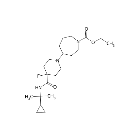 CCOC(=O)N1CCCC(N2CCC(F)(C(=O)NC(C)(C)C3CC3)CC2)CC1